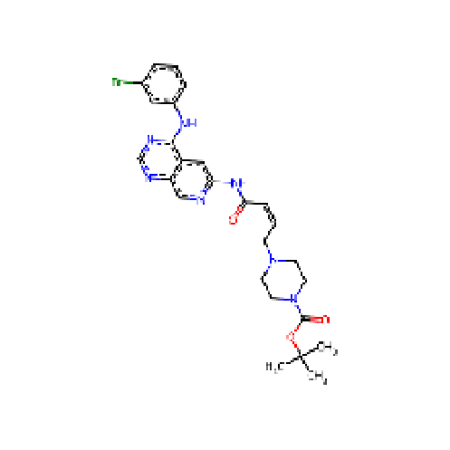 CC(C)(C)OC(=O)N1CCN(C/C=C\C(=O)Nc2cc3c(Nc4cccc(Br)c4)ncnc3cn2)CC1